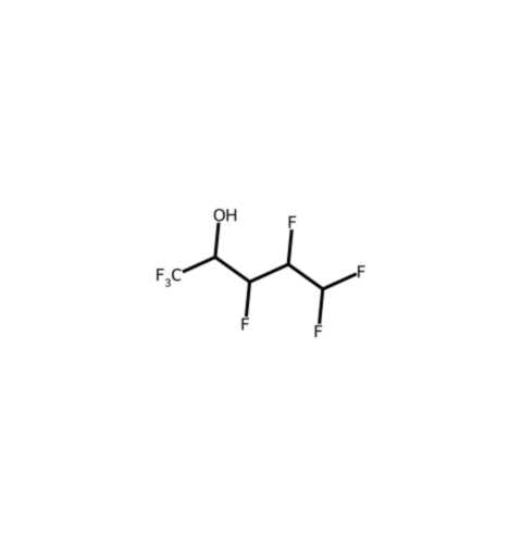 OC(C(F)C(F)C(F)F)C(F)(F)F